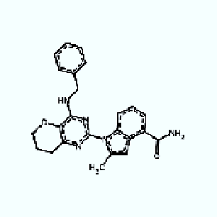 Cc1cc2c(C(N)=O)cccc2n1-c1nc2c(c(NCc3ccccc3)n1)OCCC2